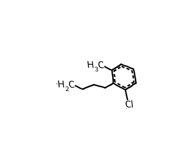 [CH2]CCCc1c(C)cccc1Cl